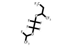 FC(OC(F)(F)C(F)(F)OC(CC(F)(F)F)C(F)(F)F)C(F)(F)F